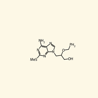 CSc1nc(N)c2ncn(CC(CO)OCP)c2n1